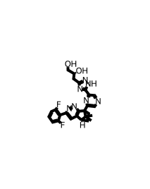 CC1(C)[C@H]2CCC1(c1cncc(-c3nc(C[C@H](O)CO)n[nH]3)n1)c1nnc(-c3c(F)cccc3F)cc12